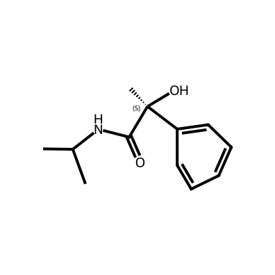 CC(C)NC(=O)[C@@](C)(O)c1ccccc1